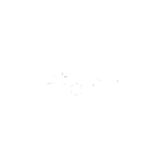 CCC(C)CCN[C@@H]1CSc2cc(O)c(N3CC(=O)NS3(=O)=O)c(F)c2C1